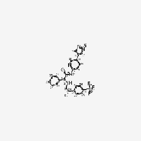 C[C@H](CN[C@@H](C(=O)Nc1ccc(-c2cnn(C)c2)cn1)c1ccccc1)c1ccc(C(F)(F)F)cc1